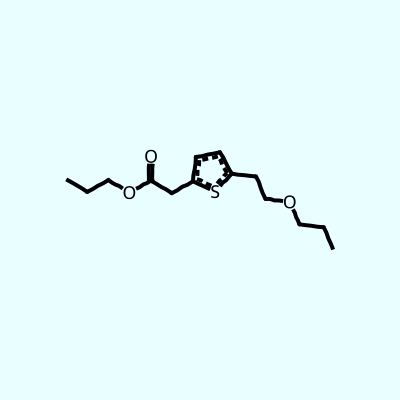 CCCOCCc1ccc(CC(=O)OCCC)s1